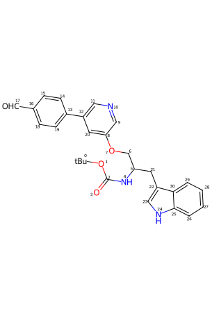 CC(C)(C)OC(=O)NC(COc1cncc(-c2ccc(C=O)cc2)c1)Cc1c[nH]c2ccccc12